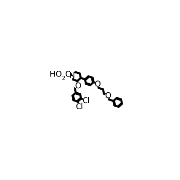 O=C(O)N1CCC(c2ccc(OCCCOCc3ccccc3)cc2)C(OCc2ccc(Cl)c(Cl)c2)C1